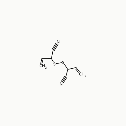 C=CC(C#N)SSC(C#N)C=C